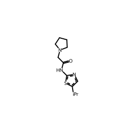 CC(C)c1cnc(NC(=O)CN2CCCC2)s1